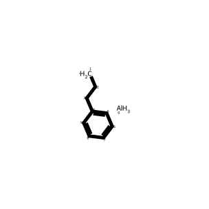 [AlH3].[CH2]CCc1ccccc1